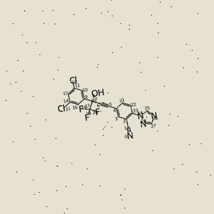 N#Cc1cc(C#C[C@](O)(c2cc(Cl)cc(Cl)c2)C(F)(F)F)ccc1-n1cncn1